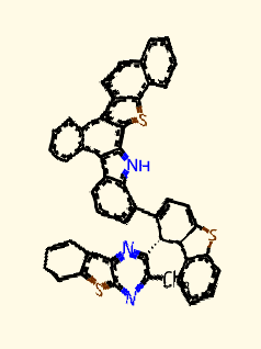 Cc1nc2sc3c(c2nc1[C@@H]1C(c2cccc4c2[nH]c2c5sc6c7ccccc7ccc6c5c5ccccc5c42)=CC=C2Sc4ccccc4C21)C=CCC3